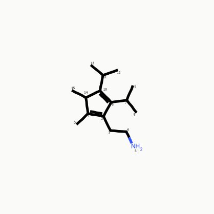 CC1=C(CCN)C(C(C)C)=C(C(C)C)C1C